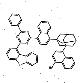 Brc1ccc(C23CC4CC(C2)CC(c2ccc(-c5nc(-c6ccccc6)nc(-c6cccc7oc8ccccc8c67)n5)c5ccccc25)(C4)C3)c2ccccc12